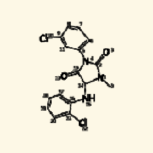 CN1C(=O)N(c2cccc(Cl)c2)C(=O)C1Nc1ccccc1Cl